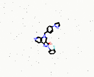 O=c1c2cn(Cc3ccc(-n4cccn4)cc3)c3cnccc3c-2nn1-c1ccccc1F